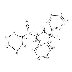 CC(C)[C@H](NP(=O)(c1ccccc1)c1ccccc1)C(=O)N1CCCCC1